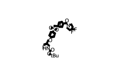 CC(C)(C)OC(=O)NC/C(=C\F)COc1ccc(S(=O)(=O)CC23CCC(C(=O)N4CCC(F)(F)CC4)(CC2)CC3)cc1